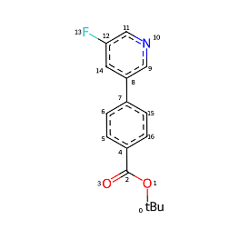 CC(C)(C)OC(=O)c1ccc(-c2cncc(F)c2)cc1